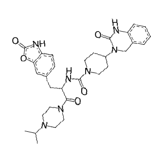 CC(C)N1CCN(C(=O)C(Cc2ccc3[nH]c(=O)oc3c2)NC(=O)N2CCC(N3Cc4ccccc4NC3=O)CC2)CC1